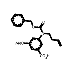 C=CCCN(C(=O)OCc1ccccc1)c1cc(OC)cc(C(=O)O)c1